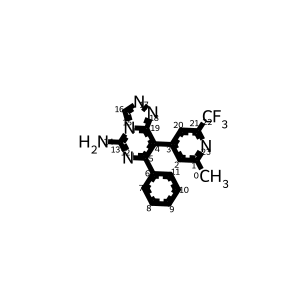 Cc1cc(-c2c(-c3ccccc3)nc(N)n3cnnc23)cc(C(F)(F)F)n1